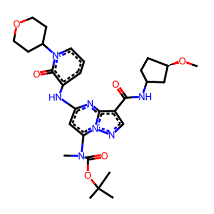 CO[C@@H]1CCC(NC(=O)c2cnn3c(N(C)C(=O)OC(C)(C)C)cc(Nc4cccn(C5CCOCC5)c4=O)nc23)C1